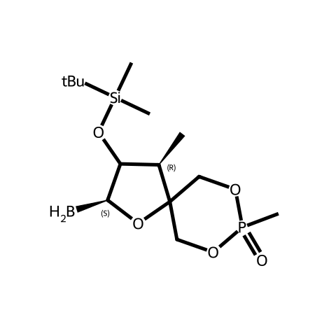 B[C@@H]1OC2(COP(C)(=O)OC2)[C@H](C)C1O[Si](C)(C)C(C)(C)C